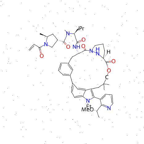 C=CC(=O)N1C[C@@H](C(=O)N(C)[C@H](C(=O)N[C@H]2Cc3cccc(c3)-c3ccc4c(c3)c(c(-c3cccnc3[C@H](C)OC)n4CC)CC(C)(C)COC(=O)[C@@H]3CCCN(N3)C2=O)C(C)C)C[C@@H]1C